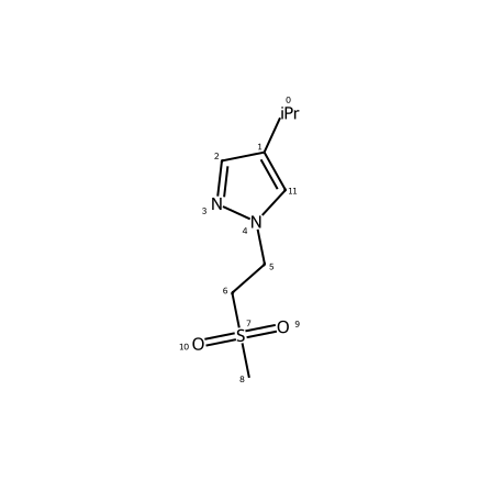 CC(C)c1cnn(CCS(C)(=O)=O)c1